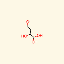 [O]CCC(O)[C](O)O